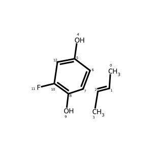 CC=CC.Oc1ccc(O)c(F)c1